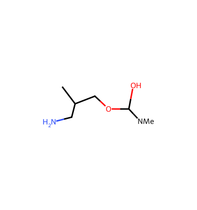 CNC(O)OCC(C)CN